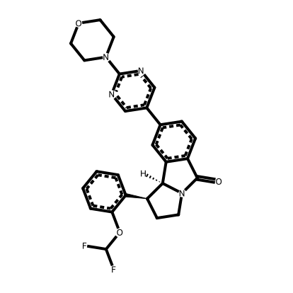 O=C1c2ccc(-c3cnc(N4CCOCC4)nc3)cc2[C@@H]2[C@H](c3ccccc3OC(F)F)CCN12